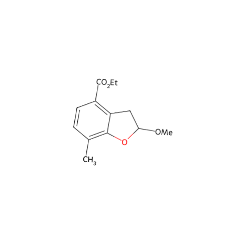 CCOC(=O)c1ccc(C)c2c1CC(OC)O2